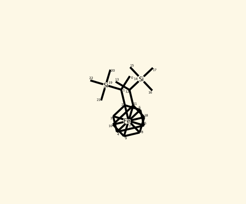 CC([C]12[CH]3[CH]4[CH]5[CH]1[Fe]45321678[CH]2[CH]1[CH]6[C]7(C(C)[Si](C)(C)C)[CH]28)[Si](C)(C)C